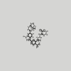 CCc1cc(N2CCN3CCC[C@H]3C2)ccc1Nc1ncc(C(F)F)c(NCCCN2CCCOC2=O)n1